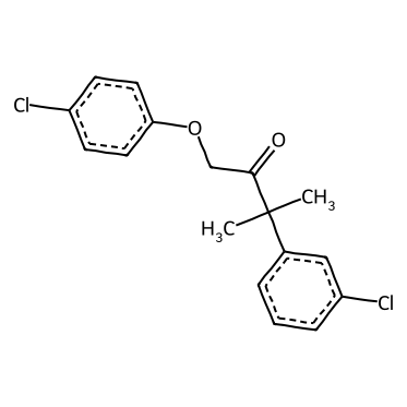 CC(C)(C(=O)COc1ccc(Cl)cc1)c1cccc(Cl)c1